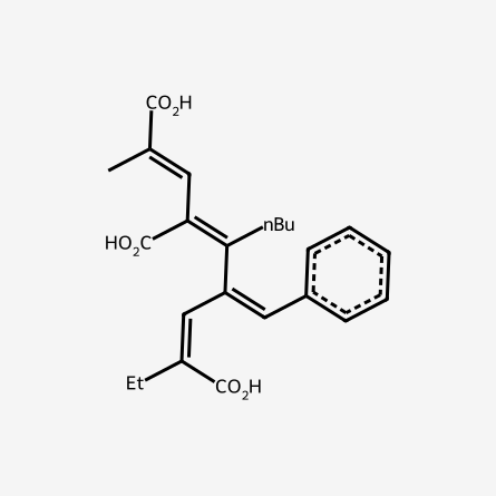 CCCCC(C(=Cc1ccccc1)C=C(CC)C(=O)O)=C(C=C(C)C(=O)O)C(=O)O